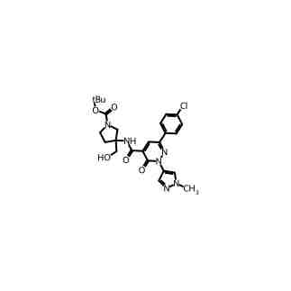 Cn1cc(-n2nc(-c3ccc(Cl)cc3)cc(C(=O)NC3(CO)CCN(C(=O)OC(C)(C)C)C3)c2=O)cn1